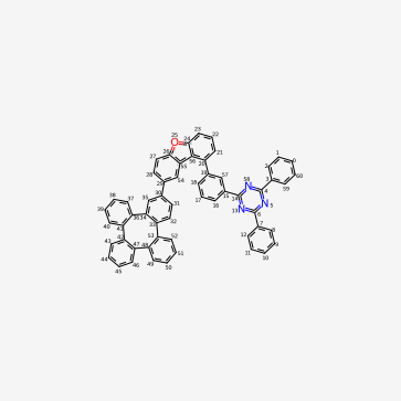 c1ccc(-c2nc(-c3ccccc3)nc(-c3cccc(-c4cccc5oc6ccc(-c7ccc8c(c7)-c7ccccc7-c7ccccc7-c7ccccc7-8)cc6c45)c3)n2)cc1